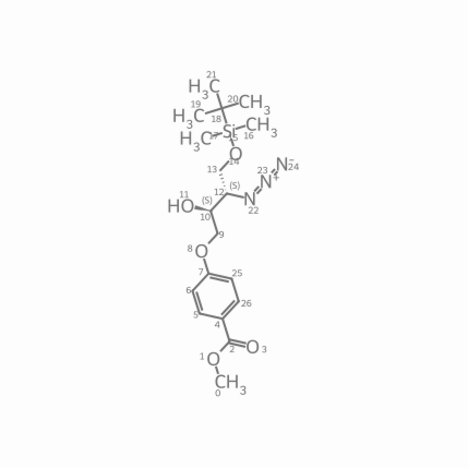 COC(=O)c1ccc(OC[C@@H](O)[C@H](CO[Si](C)(C)C(C)(C)C)N=[N+]=[N-])cc1